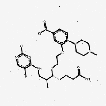 C[C@@H](CNc1nc(Cl)ncc1F)[C@@H](CCCC(N)=O)SCCOc1cc([N+](=O)[O-])ccc1N1CCN(C)CC1